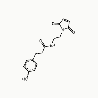 O=C(CCc1ccc(O)cc1)NCCN1C(=O)C=CC1=O